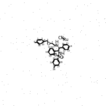 Cc1ccc(COCCN[C@H](c2ccccc2)[C@H](NS(=O)(=O)c2ccc(C)cc2)c2ccccc2)cc1.[Cl][Ru]